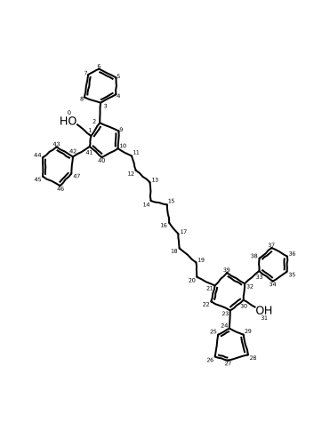 Oc1c(-c2ccccc2)cc(CCCCCCCCCCc2cc(-c3ccccc3)c(O)c(-c3ccccc3)c2)cc1-c1ccccc1